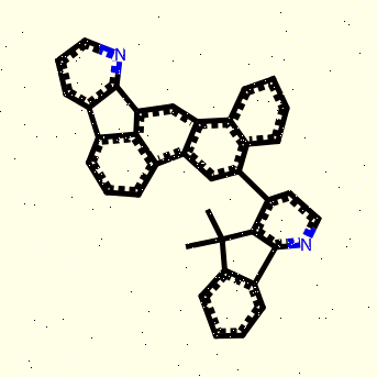 CC1(C)c2ccccc2-c2nccc(-c3cc4c5cccc6c5c(cc4c4ccccc34)-c3ncccc3-6)c21